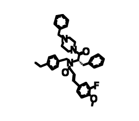 CCc1ccc(CN(C(=O)/C=C/c2ccc(OC)c(F)c2)[C@@H](Cc2ccccc2)C(=O)N2CCN(Cc3ccccc3)CC2)cc1